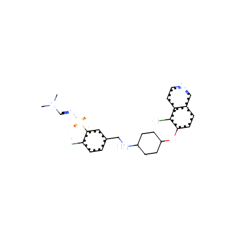 CN(C)C=NS(=O)(=O)c1cc(CNC2CCC(Oc3ccc4cnccc4c3Cl)CC2)ccc1Cl